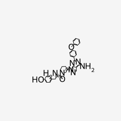 Nc1nc(-c2ccc(Oc3ccccc3)cc2)nc2c1cnn2[C@@H]1CCCN(C(=O)[C@@H](N)Cc2ccc(O)cc2)C1